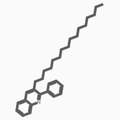 CCCCCCCCCCCCCCCCc1cc2ccccc2nc1-c1ccccc1